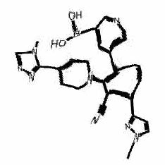 Cn1ccc(-c2ccc(-c3cncc(B(O)O)c3)c(N3CCC(c4nncn4C)CC3)c2C#N)n1